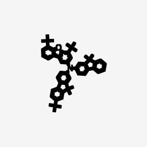 CC(C)(C)c1ccc2c(c1)C(C)(C)c1cc(N(c3ccc4c(c3)C(C)(C)c3ccccc3-4)c3cc(C(C)(C)C)c4oc5c(C(C)(C)C)cccc5c4c3)ccc1-2